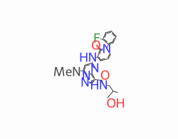 CNc1cc(Nc2cccn(-c3ccccc3F)c2=O)nc2c(C(=O)NCC(C)CO)cnn12